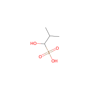 CC(C)C(O)S(=O)(=O)O